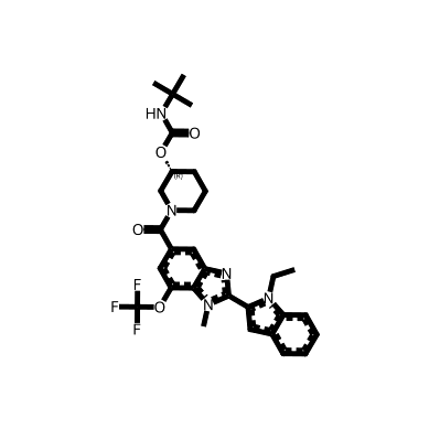 CCn1c(-c2nc3cc(C(=O)N4CCC[C@@H](OC(=O)NC(C)(C)C)C4)cc(OC(F)(F)F)c3n2C)cc2ccccc21